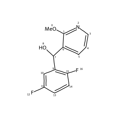 COc1ncccc1C(O)c1cc(F)ccc1F